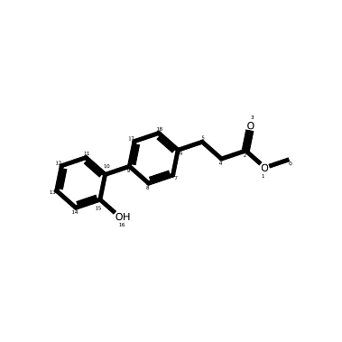 COC(=O)CCc1ccc(-c2ccccc2O)cc1